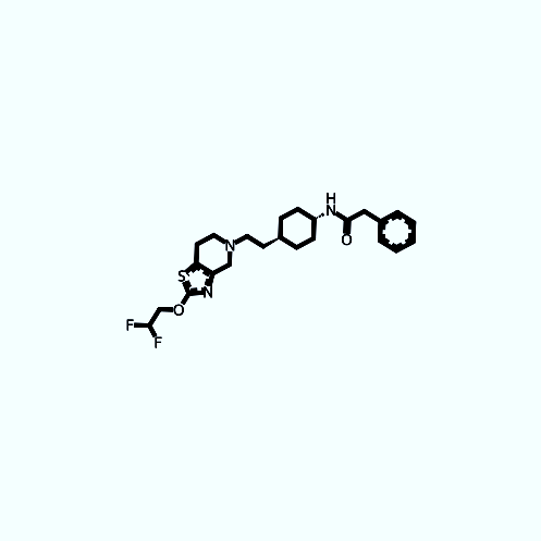 O=C(Cc1ccccc1)N[C@H]1CC[C@H](CCN2CCc3sc(OCC(F)F)nc3C2)CC1